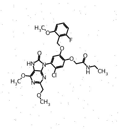 CCNC(=O)COc1cc(Cl)c(-n2c(=O)[nH]c3c(OC)nc(COC)nc32)cc1OCc1c(F)cccc1OC